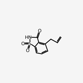 C=CCc1cccc2c1C(=O)NS2(=O)=O